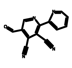 N#Cc1c(C=O)cnc(-c2ccccn2)c1C#N